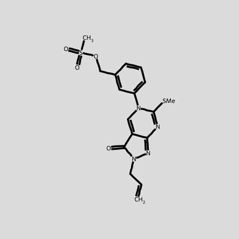 C=CCn1nc2nc(SC)n(-c3cccc(COS(C)(=O)=O)c3)cc-2c1=O